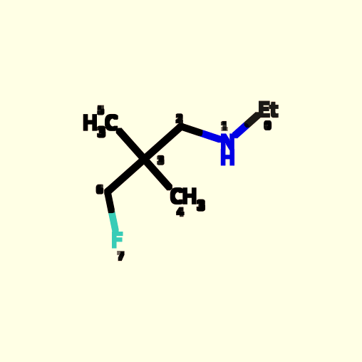 CCNCC(C)(C)CF